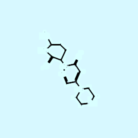 O=C1NC(O)CCC1n1ncc(N2CCNCC2)cc1=O